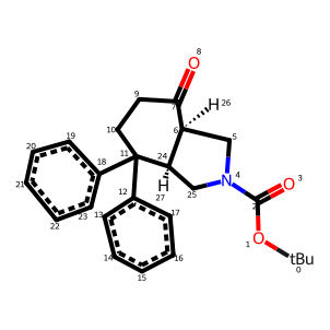 CC(C)(C)OC(=O)N1C[C@@H]2C(=O)CCC(c3ccccc3)(c3ccccc3)[C@@H]2C1